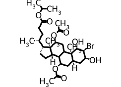 CC(=O)O[C@H]1CC2C([C@H](OC(C)=O)C[C@@H]3C[C@H](O)[C@H](Br)[C@@H](O)[C@]23C)[C@@H]2CC[C@H]([C@H](C)CCC(=O)OC(C)C)[C@@]12C